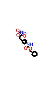 O=C(Nc1ccc(CC2OC(=O)NC2=O)cc1)OCc1ccccc1